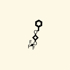 FC(F)(F)OC1CC(OCc2ccccc2)C1